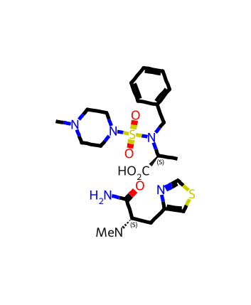 CN[C@@H](Cc1cscn1)C(N)=O.C[C@@H](C(=O)O)N(Cc1ccccc1)S(=O)(=O)N1CCN(C)CC1